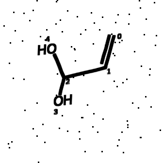 C=CC(O)O